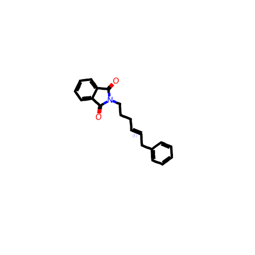 O=C1c2ccccc2C(=O)N1CCC/C=C/Cc1ccccc1